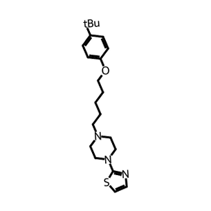 CC(C)(C)c1ccc(OCCCCCN2CCN(c3nccs3)CC2)cc1